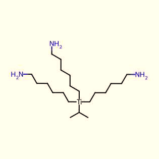 C[CH](C)[Ti]([CH2]CCCCCN)([CH2]CCCCCN)[CH2]CCCCCN